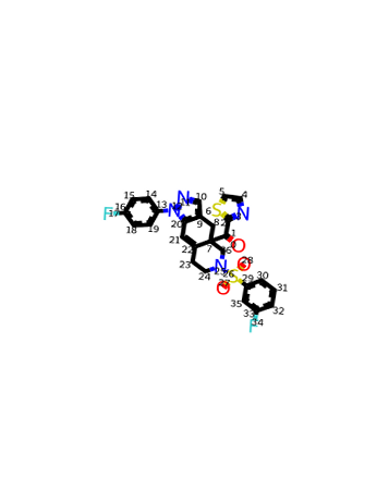 O=C(c1nccs1)C12Cc3cnn(-c4ccc(F)cc4)c3C=C1CCN(S(=O)(=O)c1cccc(F)c1)C2